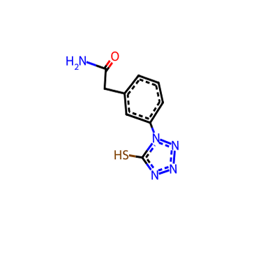 NC(=O)Cc1cccc(-n2nnnc2S)c1